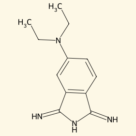 CCN(CC)c1ccc2c(c1)C(=N)NC2=N